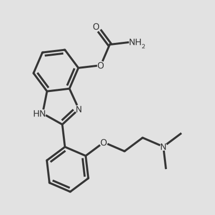 CN(C)CCOc1ccccc1-c1nc2c(OC(N)=O)cccc2[nH]1